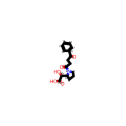 O=C(CCC(=O)N1CCCC1C(O)C(=O)O)c1ccccc1